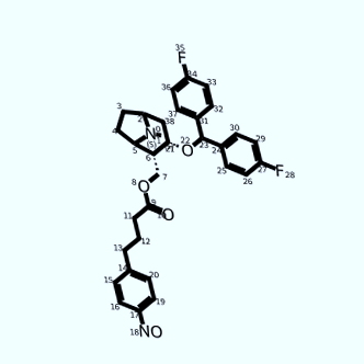 CN1C2CCC1[C@@H](COC(=O)CCCc1ccc(N=O)cc1)[C@@H](OC(c1ccc(F)cc1)c1ccc(F)cc1)C2